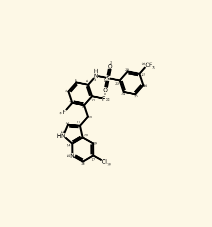 O=S(=O)(Nc1ccc(F)c(Cc2c[nH]c3ncc(Cl)cc23)c1F)c1cccc(C(F)(F)F)c1